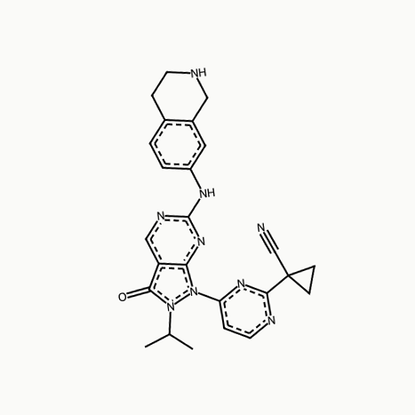 CC(C)n1c(=O)c2cnc(Nc3ccc4c(c3)CNCC4)nc2n1-c1ccnc(C2(C#N)CC2)n1